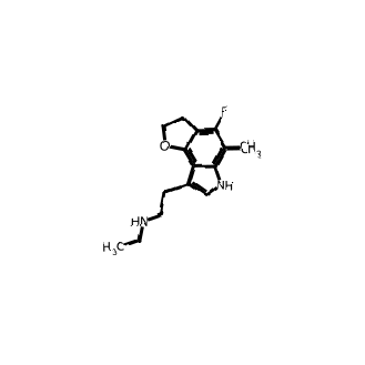 CCNCCc1c[nH]c2c(C)c(F)c3c(c12)OCC3